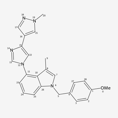 COc1ccc(Cn2cc(C)c3c(-n4cnc(-c5cnn(C)c5)c4)cccc32)cc1